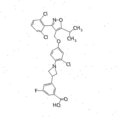 CC(C)c1onc(-c2c(Cl)cccc2Cl)c1COc1ccc(N2CC(c3cc(F)cc(C(=O)O)c3)C2)c(Cl)c1